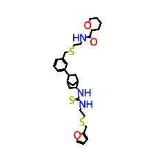 O=C(NCCSCc1cccc(C2CC3CC2CC3NC(=S)NCCSCc2ccco2)c1)C1CCCCO1